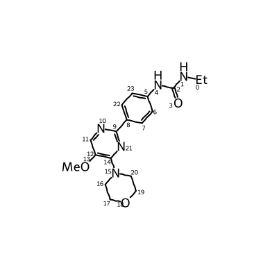 CCNC(=O)Nc1ccc(-c2ncc(OC)c(N3CCOCC3)n2)cc1